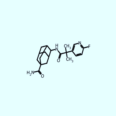 CC(C)(C(=O)NC1C2CC3CC1CC(C(N)=O)(C3)C2)c1ccc(F)nc1